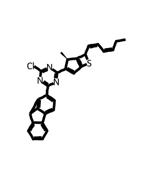 CC/C=C\C=C/C1SC2=C1[C@H](C)C(c1nc(Cl)nc(-c3ccc4c5c3C5c3ccccc3-4)n1)=C2